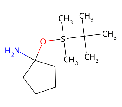 CC(C)(C)[Si](C)(C)OC1(N)CCCC1